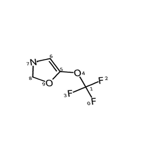 FC(F)(F)OC1=C[N]CO1